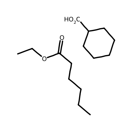 CCCCCC(=O)OCC.O=C(O)C1CCCCC1